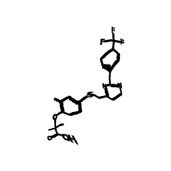 Cc1cc(SCc2ccnc(-c3ccc(C(F)(F)F)cc3)n2)ccc1OC(C)(C)C(=O)O